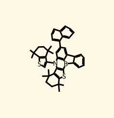 CC1(C)CCC(C)(C)c2c(N3c4cc(-c5cccc6ccccc56)cc5c4B(c4ccccc4-5)c4sc5c(c43)C(C)(C)CCC5(C)C)csc21